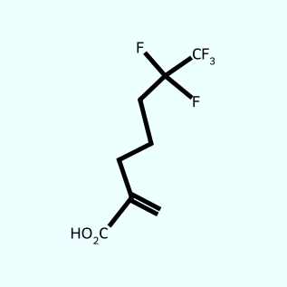 C=C(CCCC(F)(F)C(F)(F)F)C(=O)O